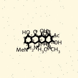 CNCc1ccc(O)c2c1C[C@@]1(CN)C[C@H]3[C@H](N(C)C)C(O)=C(C(C)=O)C(=O)[C@@]3(O)C(O)=C1C2=O